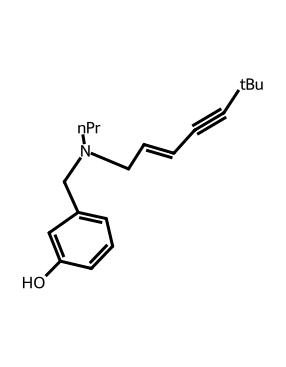 CCCN(C/C=C/C#CC(C)(C)C)Cc1cccc(O)c1